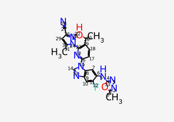 Cc1nnc(Nc2cc3c(cc2F)ncn3-c2ccc(C(C)O)c(-n3nc(C#N)cc3C)n2)o1